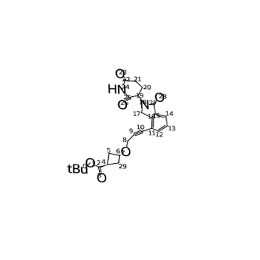 CC(C)(C)OC(=O)[C@H]1C[C@H](OCC#Cc2cccc3c2CN(C2CCC(=O)NC2=O)C3=O)C1